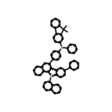 CC1(C)c2ccccc2-c2ccc(N(c3ccccc3)c3ccc(-c4cc5ccccc5c5c4c4cc(-c6ccccc6)ccc4n5-c4cccc5ccccc45)cc3)cc21